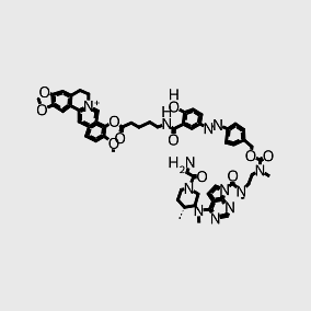 COc1ccc2cc3[n+](cc2c1OC(=O)CCCCNC(=O)c1cc(/N=N/c2ccc(COC(=O)N(C)CCN(C)C(=O)n4ccc5c(N(C)[C@H]6CN(C(=O)CN)CC[C@H]6C)ncnc54)cc2)ccc1O)CCc1cc2c(cc1-3)OCO2